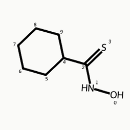 ONC(=S)C1CCCCC1